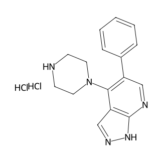 Cl.Cl.c1ccc(-c2cnc3[nH]ncc3c2N2CCNCC2)cc1